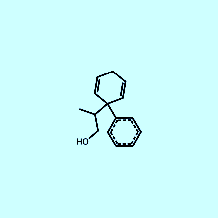 CC(CO)C1(c2ccccc2)C=CCC=C1